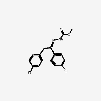 COC(=O)N/N=C(/Cc1ccc(Cl)cc1)c1ccc(Cl)cc1